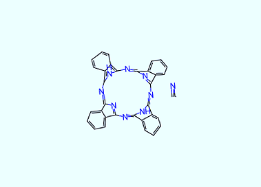 [C]#N.c1ccc2c(c1)-c1nc-2nc2[nH]c(nc3nc(nc4[nH]c(n1)c1ccccc41)-c1ccccc1-3)c1ccccc21